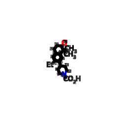 CCc1cc2c(cc1C1CCN(C(=O)O)CC1)C(C)(C)C(=O)CC2